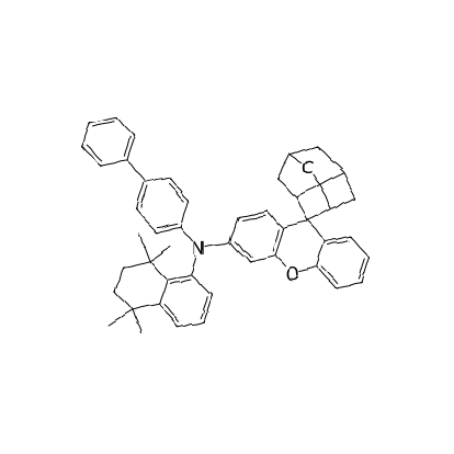 CC1(C)CCC(C)(C)c2c(N(c3ccc(-c4ccccc4)cc3)c3ccc4c(c3)Oc3ccccc3C43C4CC5CC6CC3C64C5)cccc21